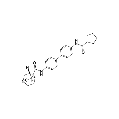 O=C(Nc1ccc(-c2ccc(NC(=O)[C@H]3CN4CCC3CC4)cc2)cc1)C1CCCC1